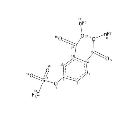 CCCOC(=O)c1ccc(OS(=O)(=O)C(F)(F)F)cc1C(=O)OCCC